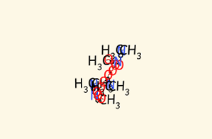 COc1cccc(CN(Cc2ccc(N(C)C)cc2)C(=O)OCCOCCOc2cc(CN(C)C)cc(OCCOCCOC(=O)N(Cc3ccc(N(C)C)cc3)Cc3cccc(OC)c3)c2)c1